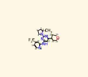 C[C@H]1CCCN1c1nc(Nc2cc(C(F)(F)F)ccn2)cc(C2CCOCC2)n1